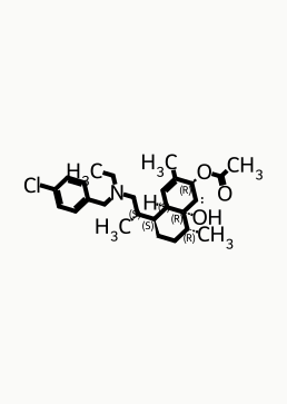 CCN(Cc1ccc(Cl)cc1)C[C@@H](C)[C@@H]1CC[C@@H](C)[C@]2(O)[C][C@@H](OC(C)=O)C(C)=C[C@H]12